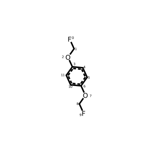 FCOc1ccc(OCF)cc1